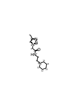 Cc1cn(CC(=O)NCCN2CCCCC2)nn1